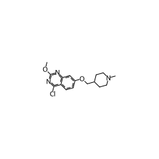 COc1nc(Cl)c2ccc(OCC3CCN(C)CC3)cc2n1